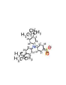 CC(C)(C)c1ccc(N(c2ccc([SH](=O)=O)cc2)c2ccc(C(C)(C)C)cc2)cc1